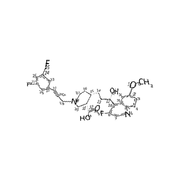 COc1ccc2ncc(F)c([C@@H](O)CC[C@H]3CCN(CC#Cc4cc(F)cc(F)c4)C[C@H]3C(=O)O)c2c1